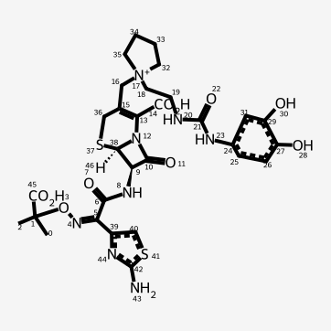 CC(C)(O/N=C(\C(=O)N[C@@H]1C(=O)N2C(C(=O)O)=C(C[N+]3(CCNC(=O)Nc4ccc(O)c(O)c4)CCCC3)CS[C@H]12)c1csc(N)n1)C(=O)O